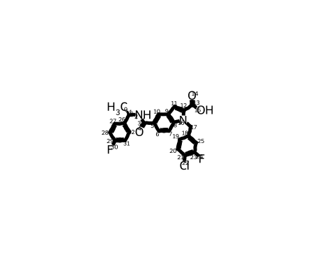 C[C@@H](NC(=O)c1ccc2c(c1)cc(C(=O)O)n2Cc1ccc(Cl)c(F)c1)c1ccc(F)cc1